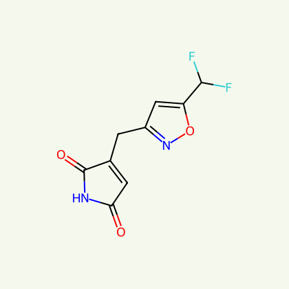 O=C1C=C(Cc2cc(C(F)F)on2)C(=O)N1